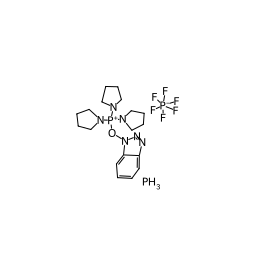 F[P-](F)(F)(F)(F)F.P.c1ccc2c(c1)nnn2O[P+](N1CCCC1)(N1CCCC1)N1CCCC1